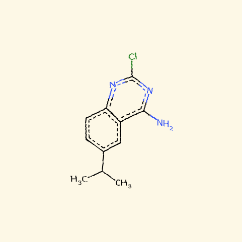 CC(C)c1ccc2nc(Cl)nc(N)c2c1